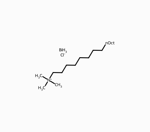 CCCCCCCCCCCCCCCC[N+](C)(C)C.[BiH3].[Cl-]